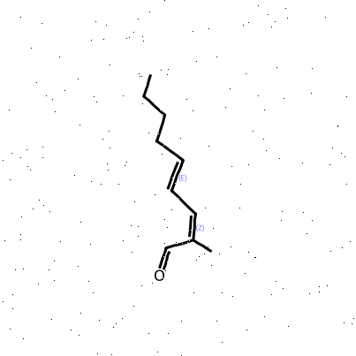 CCCC/C=C/C=C(/C)C=O